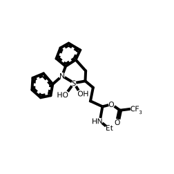 CCNC(CCC1Cc2ccccc2N(c2ccccc2)S1(O)O)OC(=O)C(F)(F)F